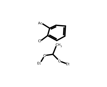 CC(=O)c1ccccc1Cl.CCOC(C)OCC